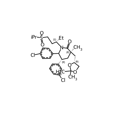 CC[C@@H](CCS(=O)(=O)C(C)C)N1C(=O)[C@@](C)(C[C@@H]2COC(C)(C)O2)C[C@H](c2cccc(Cl)c2)C1c1ccc(Cl)cc1